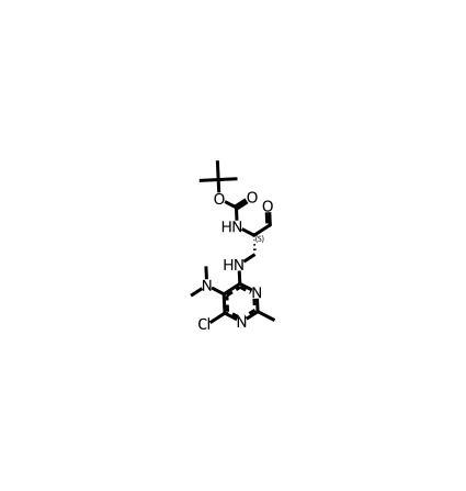 Cc1nc(Cl)c(N(C)C)c(NC[C@@H](C=O)NC(=O)OC(C)(C)C)n1